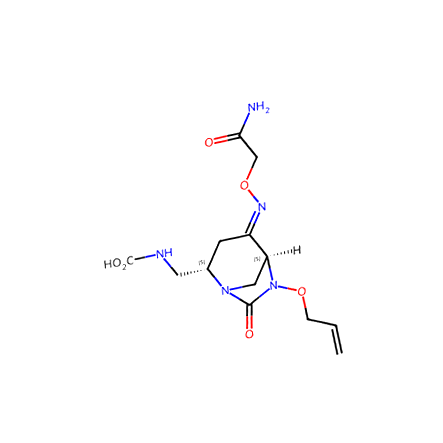 C=CCON1C(=O)N2C[C@H]1C(=NOCC(N)=O)C[C@H]2CNC(=O)O